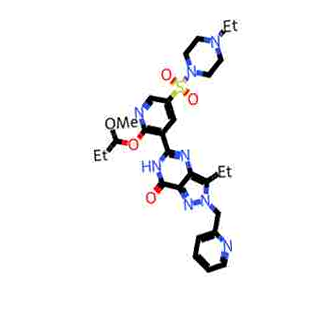 CCc1c2nc(-c3cc(S(=O)(=O)N4CCN(CC)CC4)cnc3OC(CC)OC)[nH]c(=O)c2nn1Cc1ccccn1